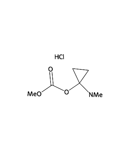 CNC1(OC(=O)OC)CC1.Cl